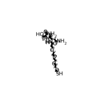 CC(C)[C@@H](O)[C@H](NC(=O)[C@H](CCN)NC(=O)CCOCCOCCOCCOCS)C(N)=O